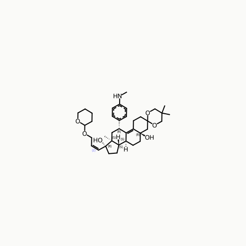 CNc1ccc([C@H]2C[C@@]3(C)[C@@H](CC[C@@]3(O)/C=C\COC3CCCCO3)[C@@H]3CC[C@@]4(O)CC5(CCC4=C32)OCC(C)(C)CO5)cc1